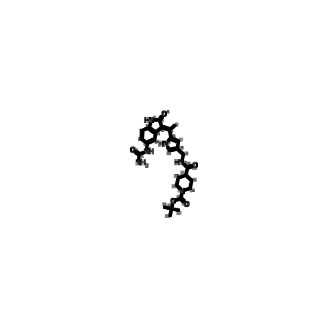 CC(=C1C(=O)Nc2ccc(NC(N)=O)cc21)c1cc(CNC(=O)C2CCN(C(=O)OC(C)(C)C)CC2)c[nH]1